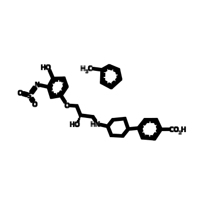 Cc1ccccc1.O=C(O)c1ccc(C2CCC(NC[C@H](O)COc3ccc(O)c(N=S(=O)=O)c3)CC2)cc1